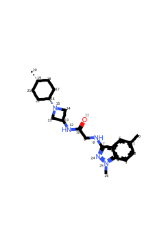 Cc1ccc2c(c1)c(NCC(=O)NC1CN([C@H]3CC[C@@H](C)CC3)C1)nn2C